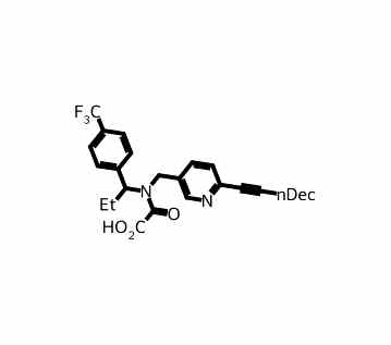 CCCCCCCCCCC#Cc1ccc(CN(C(=O)C(=O)O)C(CC)c2ccc(C(F)(F)F)cc2)cn1